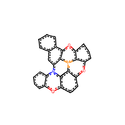 c1ccc2c(c1)cc1c3c2oc2cccc4oc5ccc6oc7ccccc7n1c6c5p3c42